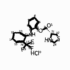 Cl.O=C(Oc1ccccc1Nc1ccccc1C(F)(F)F)[C@@H]1CSCN1